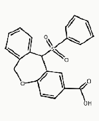 O=C(O)c1ccc2c(c1)C(S(=O)(=O)c1ccccc1)c1ccccc1CO2